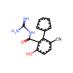 N#Cc1ccc(O)c(C(=O)NC(=N)N)c1-c1ccccc1